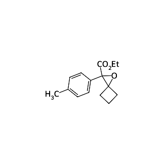 CCOC(=O)C1(c2ccc(C)cc2)OC12CCC2